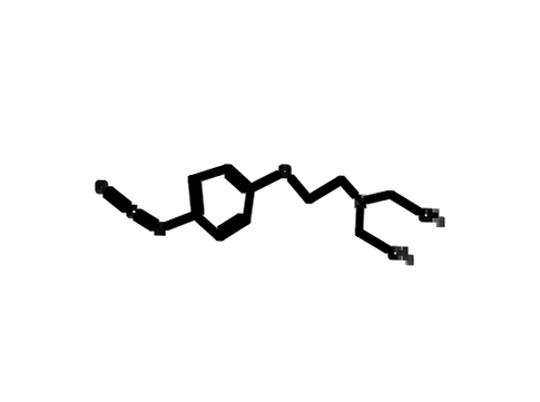 CCN(CC)CCOc1ccc(N=C=O)cc1